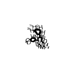 [2H]c1c([2H])c([2H])c2c3c([nH]c2c1[2H])[C@@]([2H])(c1ccc2c(c1)OCO2)N1C(=O)C([2H])([2H])N(C([2H])([2H])[2H])C(=O)[C@@]1([2H])C3([2H])[2H]